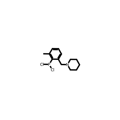 Cc1cccc(CN2CCCCC2)c1P(Cl)Cl